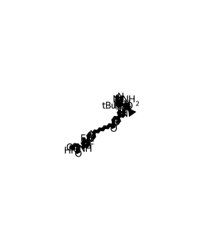 CC(C)(C)n1nc(-c2noc(C3CC3)c2-c2ncc(C3CCN(C(=O)CCCCCCCN4CCN(c5c(F)cc(NC6CCC(=O)NC6=O)cc5F)CC4)CC3)cn2)c2c(N)ncnc21